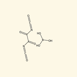 O=C=NC(=O)C(=O)N=C=O.OB(O)O